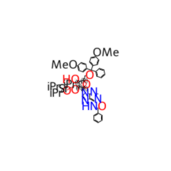 COc1ccc(C(OC[C@H]2O[C@@H](n3cnc4c(NC(=O)c5ccccc5)ncnc43)[C@H](OCO[Si](C(C)C)(C(C)C)C(C)C)[C@@H]2O)(c2ccccc2)c2ccc(OC)cc2)cc1